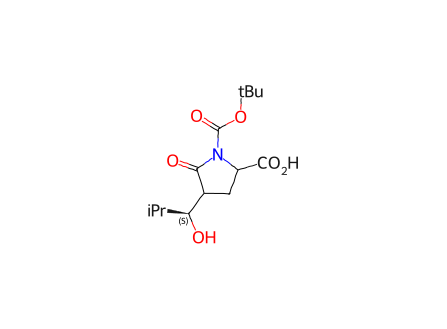 CC(C)[C@H](O)C1CC(C(=O)O)N(C(=O)OC(C)(C)C)C1=O